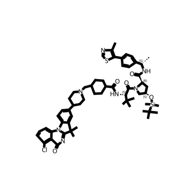 Cc1ncsc1-c1ccc([C@H](C)NC(=O)[C@H]2C[C@H](O[Si](C)(C)C(C)(C)C)CN2C(=O)[C@@H](NC(=O)C2CCC(CN3CCC(c4ccc5c(c4)C(C)(C)c4nc(=O)c6c(Cl)cccc6n4-5)CC3)CC2)C(C)(C)C)cc1